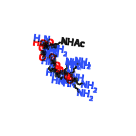 CC(=O)NCCCC[C@H](N)C(=O)N[C@H](C(=O)N[C@@H](C)C(=O)NCC(=O)N[C@H](CCCN)C(=O)N1CCC[C@H]1C(=O)N[C@@H](Cc1cnc[nH]1)C(=O)N[C@@H](CCCCN)C(=O)N/C(=C\CCNC(=N)N)C(=O)N[C@@H](CCCCN)C(=O)NCCCCN)[C@@H](O)CN